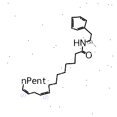 CCCCC/C=C\C/C=C\CCCCCCCC(=O)N[C@@H](C)Cc1ccccc1